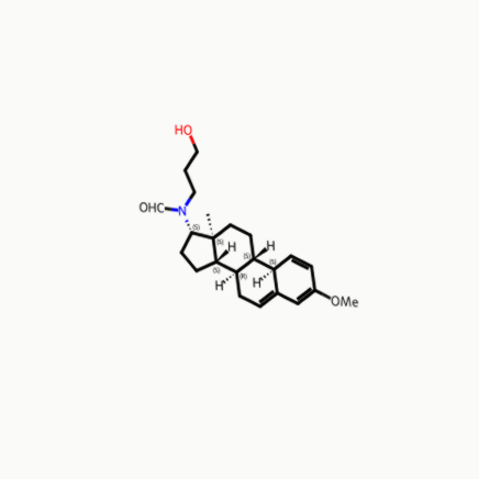 COC1=CC2=CC[C@@H]3[C@H](CC[C@]4(C)[C@@H](N(C=O)CCCO)CC[C@@H]34)[C@H]2C=C1